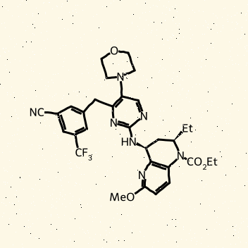 CCOC(=O)N1c2ccc(OC)nc2[C@@H](Nc2ncc(N3CCOCC3)c(Cc3cc(C#N)cc(C(F)(F)F)c3)n2)C[C@H]1CC